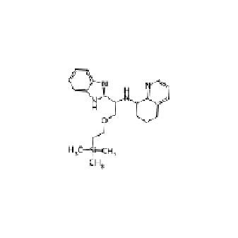 C[Si](C)(C)CCOCC(NC1CCCc2cccnc21)c1nc2ccccc2[nH]1